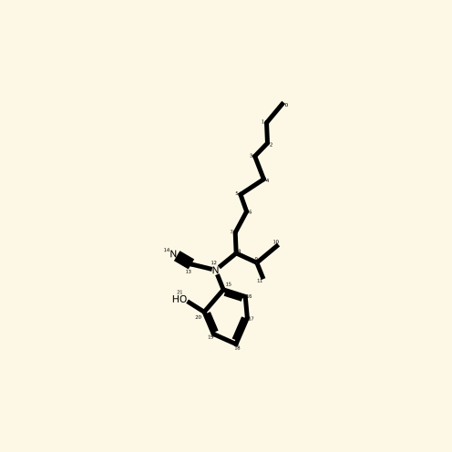 CCCCCCCCC(C(C)C)N(C#N)c1ccccc1O